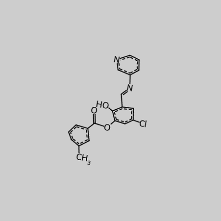 Cc1cccc(C(=O)Oc2cc(Cl)cc(C=Nc3cccnc3)c2O)c1